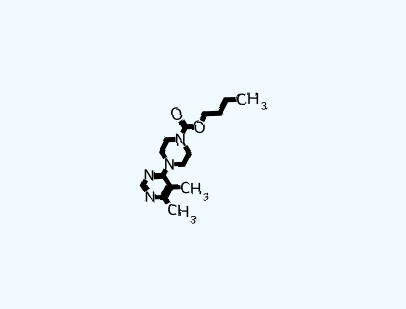 CCCCOC(=O)N1CCN(c2ncnc(C)c2C)CC1